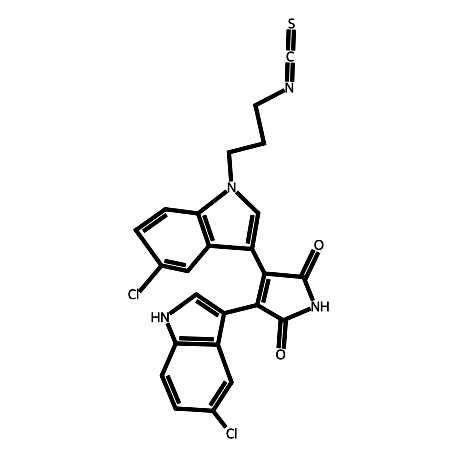 O=C1NC(=O)C(c2cn(CCCN=C=S)c3ccc(Cl)cc23)=C1c1c[nH]c2ccc(Cl)cc12